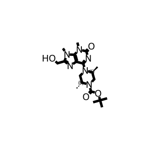 C[C@@H]1CN(c2nc(=O)n(C)c3c2nc(CO)n3C)[C@@H](C)CN1C(=O)OC(C)(C)C